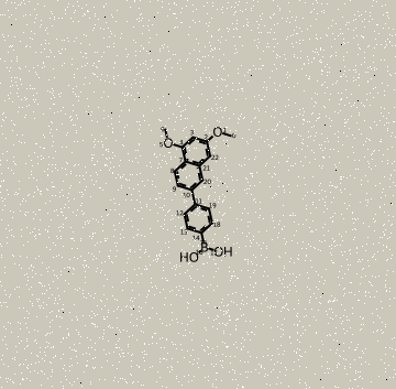 COc1cc(OC)c2ccc(-c3ccc(B(O)O)cc3)cc2c1